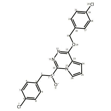 [O-][S+](Cc1ccc(Cl)cc1)c1nnc(OCc2ccc(Cl)cc2)c2cccn12